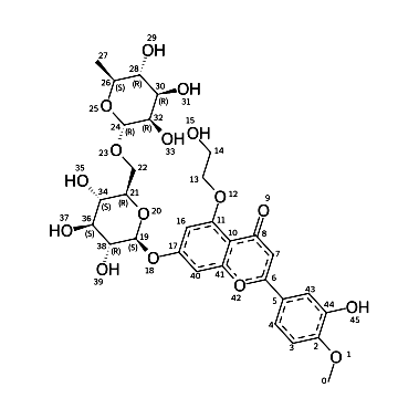 COc1ccc(-c2cc(=O)c3c(OCCO)cc(O[C@@H]4O[C@H](CO[C@@H]5O[C@@H](C)[C@H](O)[C@@H](O)[C@H]5O)[C@@H](O)[C@H](O)[C@H]4O)cc3o2)cc1O